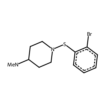 CNC1CCN(Sc2ccccc2Br)CC1